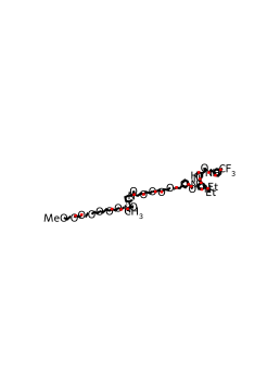 CCN(CC)c1ccc(NC(=O)c2cccc(CCCOCCOCCOCCOCCC(=O)N3CCC[C@H](C(=O)N(C)CCOCCOCCOCCOCCOCCOCCOC)C3)c2)c(-c2cc(C(=O)NCc3cccc(C(F)(F)F)c3)ccn2)c1